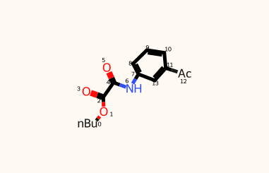 CCCCOC(=O)C(=O)Nc1cccc(C(C)=O)c1